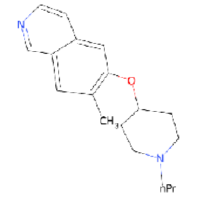 CCCN1CCC(Oc2cc3ccncc3cc2C)CC1